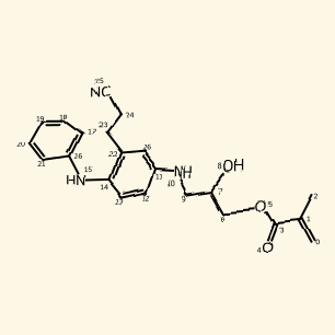 C=C(C)C(=O)OCC(O)CNc1ccc(Nc2ccccc2)c(CCC#N)c1